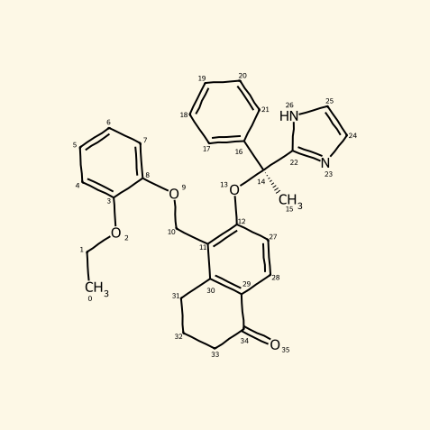 CCOc1ccccc1OCc1c(O[C@@](C)(c2ccccc2)c2ncc[nH]2)ccc2c1CCCC2=O